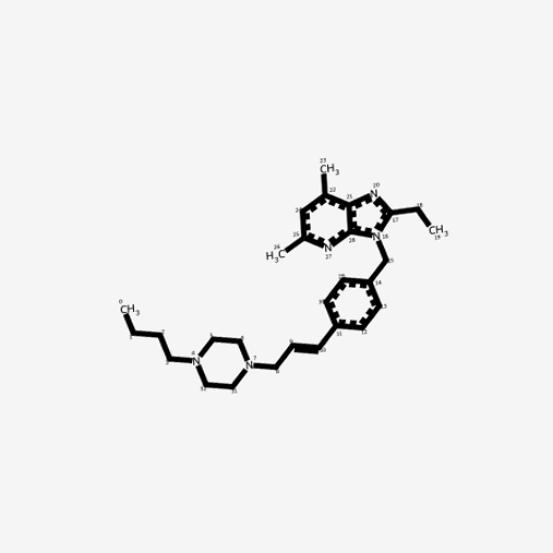 CCCCN1CCN(CC=Cc2ccc(Cn3c(CC)nc4c(C)cc(C)nc43)cc2)CC1